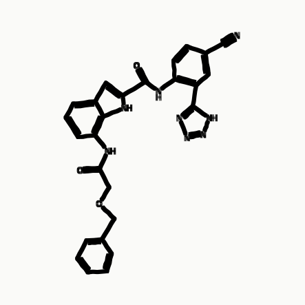 N#Cc1ccc(NC(=O)c2cc3cccc(NC(=O)COCc4ccccc4)c3[nH]2)c(-c2nnn[nH]2)c1